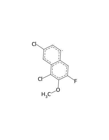 COc1c(F)cc2[c]cc(Cl)cc2c1Cl